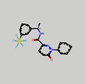 C[C@@H](NC(=O)c1ccc(=O)n(-c2ccccc2)n1)c1cccc(S(F)(F)(F)(F)F)c1